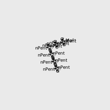 CCCCCP(=O)([O-])CCCCC.CCCCCP(=O)([O-])CCCCC.CCCCCP(=O)([O-])CCCCC.CCCCCP(=O)([O-])CCCCC.CCCCCP(=O)([O-])CCCCC.CCCCCP(=O)([O-])CCCCC.[Mo+6]